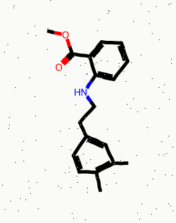 COC(=O)c1ccccc1NCCc1ccc(C)c(C)c1